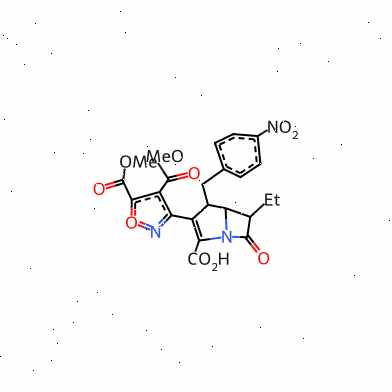 CCC1C(=O)N2C(C(=O)O)=C(c3noc(C(=O)OC)c3C(=O)OC)C(Cc3ccc([N+](=O)[O-])cc3)C12